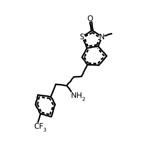 Cn1c(=O)sc2cc(CCC(N)Cc3ccc(C(F)(F)F)cc3)ccc21